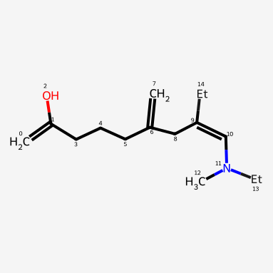 C=C(O)CCCC(=C)C/C(=C\N(C)CC)CC